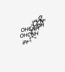 CC(C)CCC(C)N/C(C=O)=C(/C=O)Nc1cccc(C(=O)N(C)C)c1O